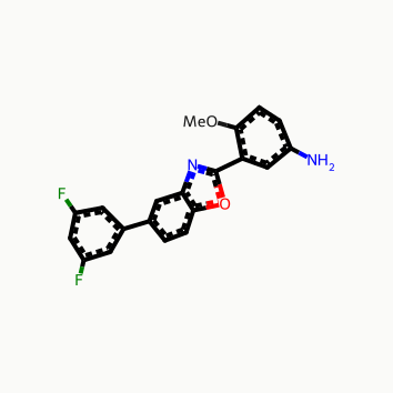 COc1ccc(N)cc1-c1nc2cc(-c3cc(F)cc(F)c3)ccc2o1